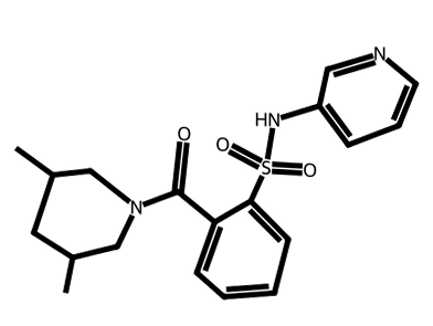 CC1CC(C)CN(C(=O)c2ccccc2S(=O)(=O)Nc2cccnc2)C1